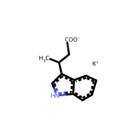 CC(CC(=O)[O-])c1c[nH]c2ccccc12.[K+]